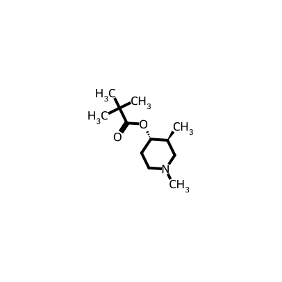 C[C@H]1CN(C)CC[C@@H]1OC(=O)C(C)(C)C